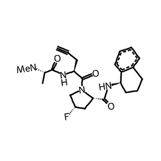 C#CC[C@H](NC(=O)[C@H](C)NC)C(=O)N1C[C@@H](F)C[C@H]1C(=O)N[C@@H]1CCCc2ccccc21